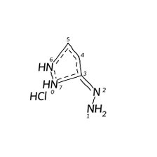 Cl.N/N=c1/cc[nH][nH]1